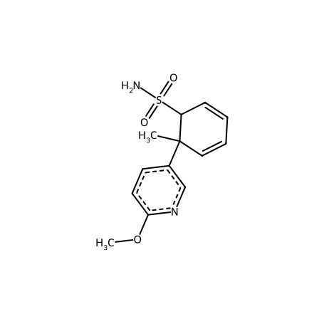 COc1ccc(C2(C)C=CC=CC2S(N)(=O)=O)cn1